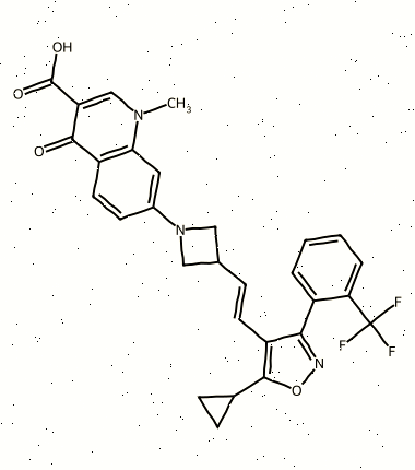 Cn1cc(C(=O)O)c(=O)c2ccc(N3CC(C=Cc4c(-c5ccccc5C(F)(F)F)noc4C4CC4)C3)cc21